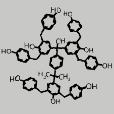 CC(C)(c1ccc(C(C)(c2cc(Cc3ccc(O)cc3)c(O)c(Cc3ccc(O)cc3)c2)c2cc(Cc3ccc(O)cc3)c(O)c(Cc3ccc(O)cc3)c2)cc1)c1cc(Cc2ccc(O)cc2)c(O)c(Cc2ccc(O)cc2)c1